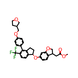 COC(=O)CC1COc2cc(O[C@@H]3CCc4c3ccc(C(F)(F)F)c4-c3ccc(OCC4CCOC4)cc3)ccc21